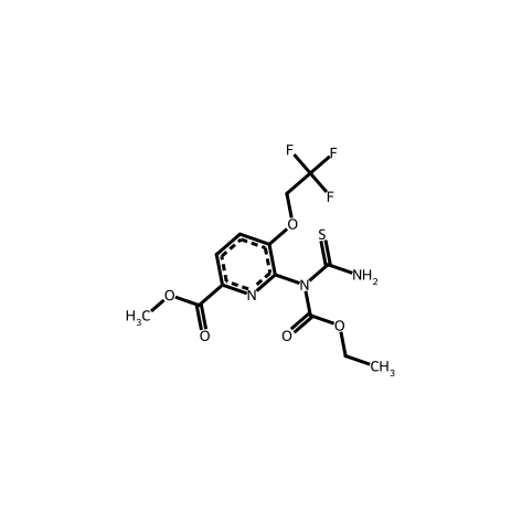 CCOC(=O)N(C(N)=S)c1nc(C(=O)OC)ccc1OCC(F)(F)F